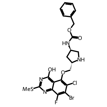 CSc1nc(O)c2c(OC[C@@H]3C[C@@H](NC(=O)OCc4ccccc4)CN3)c(Cl)c(Br)c(F)c2n1